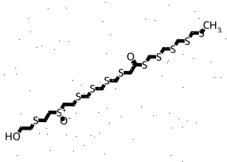 CSCSCSCSCSC(=O)CSCSCSCSCC[S+]([O-])CCSCCO